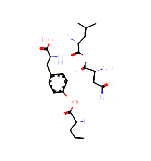 CC(C)C[C@H](N)C(=O)OC(=O)[C@@H](N)CC(N)=O.CC[C@H](C)[C@H](N)C(=O)O.N[C@@H](Cc1ccc(O)cc1)C(=O)O